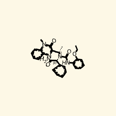 CCOc1ccccc1NC(=O)N([C@@H](C)c1nc2ccccc2n(C)c1=O)[C@@H](C(N)=O)c1ccccc1